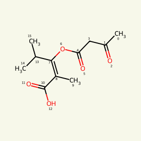 CC(=O)CC(=O)OC(=C(C)C(=O)O)C(C)C